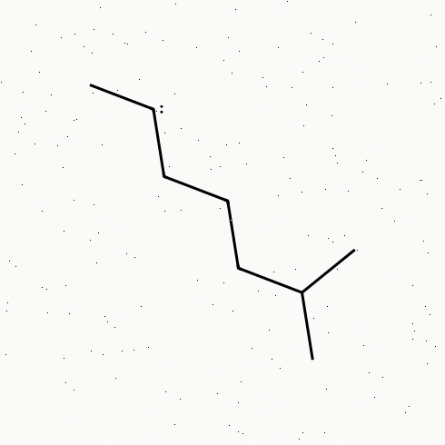 C[C]CCCC(C)C